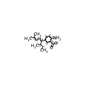 CCC(C)/C(=N\N=C(C)C)c1ccc(N)c([N+](=O)[O-])c1